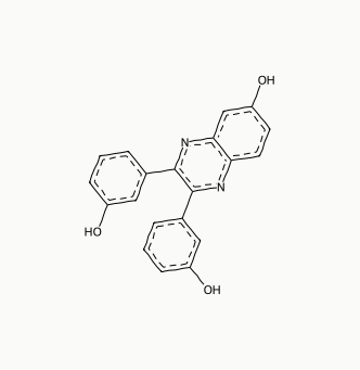 Oc1cccc(-c2nc3ccc(O)cc3nc2-c2cccc(O)c2)c1